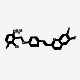 CCc1c(F)ccc(C(=O)O)c1COc1ccc(C=Cc2ccc3cc(F)c(F)cc3n2)cc1